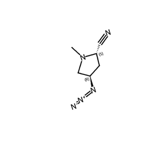 CN1C[C@H](N=[N+]=[N-])C[C@H]1C#N